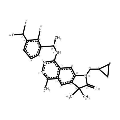 Cc1nnc(N[C@H](C)c2cccc(C(F)F)c2F)c2cc3c(cc12)C(C)(C)C(=O)N3CC1CC1